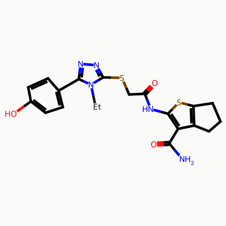 CCn1c(SCC(=O)Nc2sc3c(c2C(N)=O)CCC3)nnc1-c1ccc(O)cc1